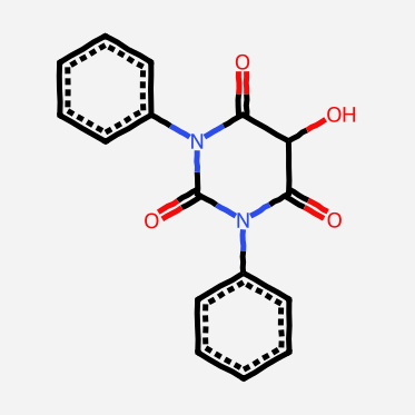 O=C1C(O)C(=O)N(c2ccccc2)C(=O)N1c1ccccc1